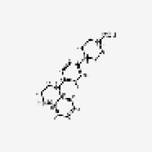 CC(C)(C)N1CCN(c2ccc(N3CCNc4ccccc43)nc2)CC1